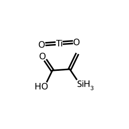 C=C([SiH3])C(=O)O.[O]=[Ti]=[O]